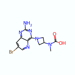 CN(C(=O)O)C1CN(c2nc(N)nc3cc(Br)cnc23)C1